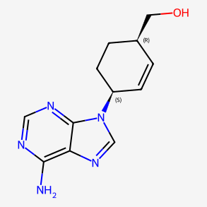 Nc1ncnc2c1ncn2[C@@H]1C=C[C@H](CO)CC1